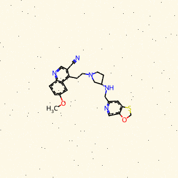 COc1ccc2ncc(C#N)c(CCN3CCC(NCc4cc5c(cn4)OCS5)C3)c2c1